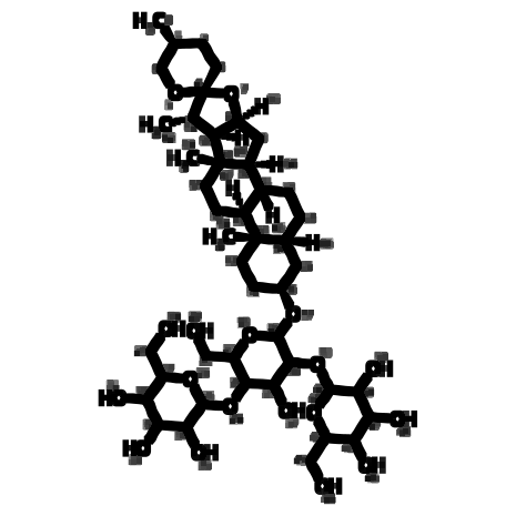 C[C@H]1CC[C@@]2(OC1)O[C@H]1C[C@H]3[C@@H]4CC[C@@H]5C[C@@H](OC6OC(CO)C(OC7OC(CO)C(O)C(O)C7O)C(O)C6OC6OC(CO)C(O)C(O)C6O)CC[C@]5(C)[C@H]4CC[C@]3(C)[C@H]1[C@@H]2C